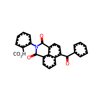 O=C(O)c1ccccc1N1C(=O)c2cccc3c(C(=O)c4ccccc4)ccc(c23)C1=O